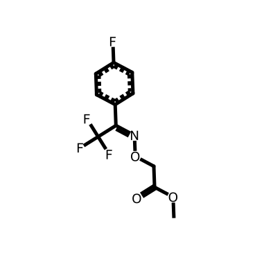 COC(=O)CON=C(c1ccc(F)cc1)C(F)(F)F